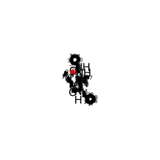 CCN(CC)CCCS(=O)(=O)N[C@H](CCc1ccccc1)c1nc(CNC(=O)NC2CCCCC2)n(CC)n1